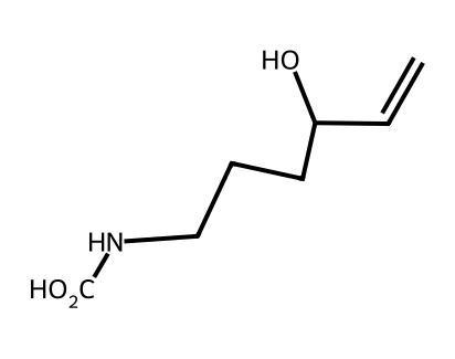 C=CC(O)CCCNC(=O)O